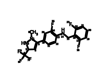 CN1NC(C(F)(F)F)C=C1c1ccc(NCc2c(F)cccc2F)c(F)c1